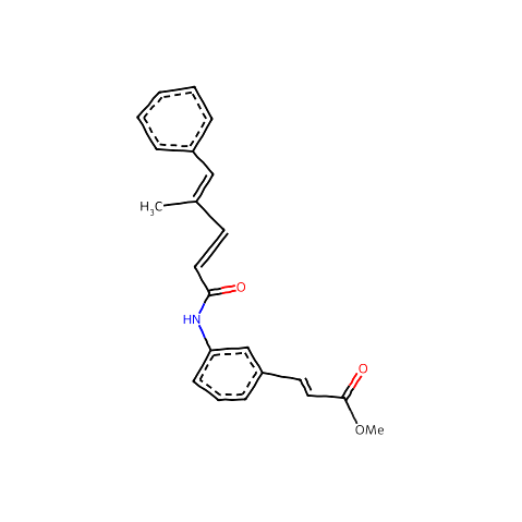 COC(=O)/C=C/c1cccc(NC(=O)/C=C/C(C)=C/c2ccccc2)c1